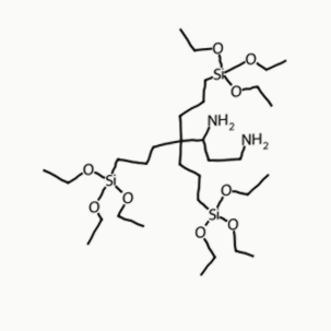 CCO[Si](CCCC(CCC[Si](OCC)(OCC)OCC)(CCC[Si](OCC)(OCC)OCC)C(N)CCN)(OCC)OCC